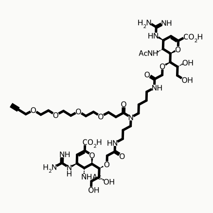 C#CCOCCOCCOCCOCCC(=O)N(CCCCNC(=O)CO[C@@H]([C@@H]1OC(C(=O)O)=C[C@H](NC(=N)N)[C@H]1NC(C)=O)[C@H](O)CO)CCCNC(=O)CO[C@@H]([C@@H]1OC(C(=O)O)=C[C@H](NC(=N)N)[C@H]1NC(C)=O)[C@H](O)CO